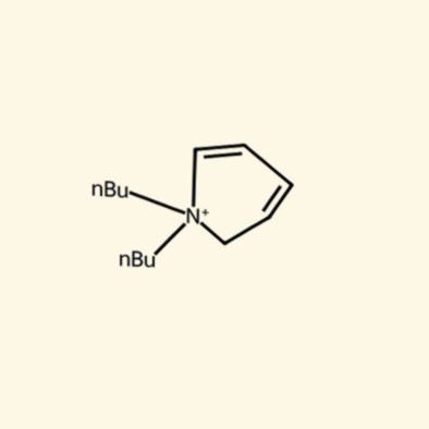 CCCC[N+]1(CCCC)C=CC=CC1